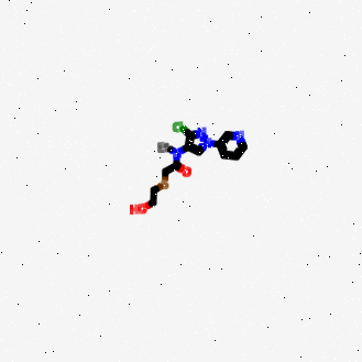 CCN(C(=O)CSCCO)c1cn(-c2cccnc2)nc1Cl